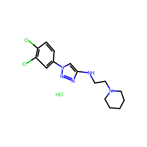 Cl.Clc1ccc(-n2cc(NCCN3CCCCC3)nn2)cc1Cl